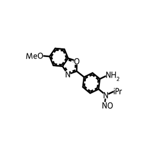 COc1ccc2oc(-c3ccc(N(N=O)C(C)C)c(N)c3)nc2c1